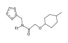 CCN(Cc1cccs1)C(=O)COC1CCC(C)CC1